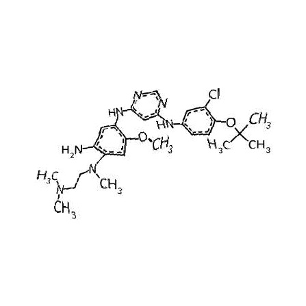 COc1cc(N(C)CCN(C)C)c(N)cc1Nc1cc(Nc2ccc(OC(C)(C)C)c(Cl)c2)ncn1